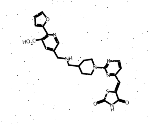 O=C1NC(=O)C(=Cc2ccnc(N3CCC(CNCc4cnc(-c5ccco5)c(C(=O)O)c4)CC3)n2)S1